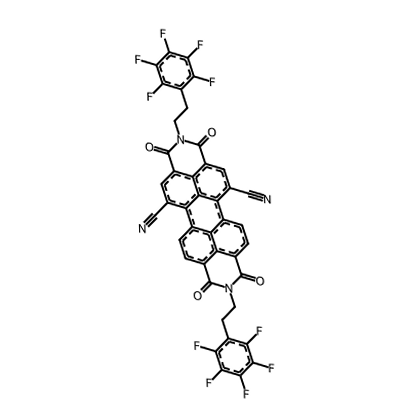 N#Cc1cc2c3c(cc(C#N)c4c5ccc6c7c(ccc(c1c34)c75)C(=O)N(CCc1c(F)c(F)c(F)c(F)c1F)C6=O)C(=O)N(CCc1c(F)c(F)c(F)c(F)c1F)C2=O